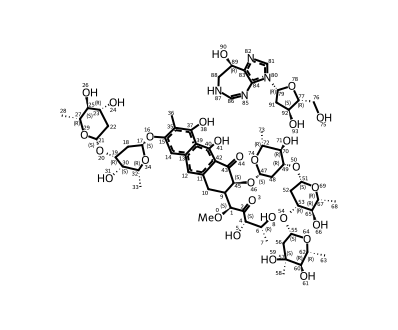 CO[C@H](C(=O)[C@@H](O)[C@@H](C)O)C1Cc2cc3cc(O[C@H]4C[C@@H](O[C@H]5C[C@@H](O)[C@H](O)[C@@H](C)O5)[C@@H](O)[C@@H](C)O4)c(C)c(O)c3c(O)c2C(=O)[C@H]1O[C@H]1C[C@@H](O[C@H]2C[C@@H](O[C@H]3C[C@](C)(O)[C@H](O)[C@@H](C)O3)[C@H](O)[C@@H](C)O2)[C@H](O)[C@@H](C)O1.OC[C@H]1O[C@@H](n2cnc3c2N=CNC[C@H]3O)C[C@@H]1O